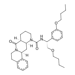 CCCCOC[C@H](NC(=O)N1CCC[C@@H]2C(=O)N3CCc4ccccc4[C@@H]3C[C@@H]21)c1cccc(OCCCC)c1